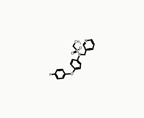 CCS(=O)(=O)N(Cc1cccnc1)c1ccc(Oc2ccc(F)cc2)cc1